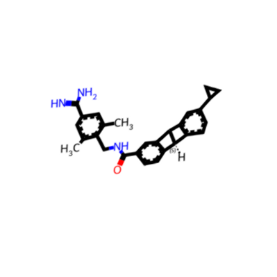 Cc1cc(C(=N)N)cc(C)c1CNC(=O)c1ccc2c(c1)C1c3cc(C4CC4)ccc3[C@@H]21